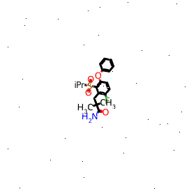 CC(C)S(=O)(=O)c1c(Oc2ccccc2)ccc(F)c1CC(C)(C)C(N)=O